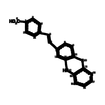 O=C(O)c1ccc(C=Cc2ccc3c(c2)Nc2nccnc2S3)cc1